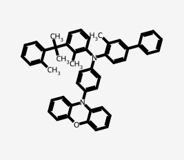 Cc1cc(-c2ccccc2)ccc1N(c1ccc(N2c3ccccc3Oc3ccccc32)cc1)c1cccc(C(C)(C)c2ccccc2C)c1C